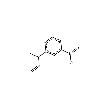 C=C[C](C)c1cccc([N+](=O)[O-])c1